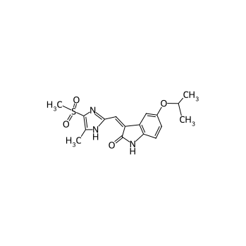 Cc1[nH]c(/C=C2\C(=O)Nc3ccc(OC(C)C)cc32)nc1S(C)(=O)=O